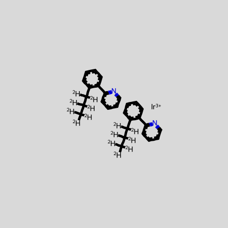 [2H]C([2H])([2H])C([2H])([2H])C([2H])([2H])c1ccccc1-c1ccccn1.[2H]C([2H])([2H])C([2H])([2H])C([2H])([2H])c1ccccc1-c1ccccn1.[Ir+3]